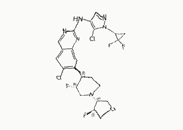 F[C@@H]1COC[C@H]1N1CC[C@H](c2cc3nc(Nc4cnn(C5CC5(F)F)c4Cl)ncc3cc2Cl)[C@@H](F)C1